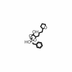 O=C(O)C(CCCC1CCCO1)OP(=O)(O)Cc1ccccc1